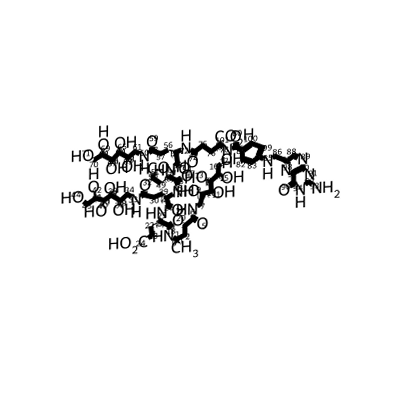 C[C@H](CCC(=O)NC[C@H](O)[C@@H](O)[C@H](O)[C@H](O)CO)NC(=O)[C@H](CCC(=O)O)NC(=O)[C@H](CCC(=O)NC[C@H](O)[C@@H](O)[C@H](O)[C@H](O)CO)NC(=O)[C@H](CCC(=O)O)NC(=O)[C@H](CCC(=O)NC[C@H](O)[C@@H](O)[C@H](O)[C@H](O)CO)NC(=O)CC[C@H](NC(=O)c1ccc(NCc2cnc3nc(N)[nH]c(=O)c3n2)cc1)C(=O)O